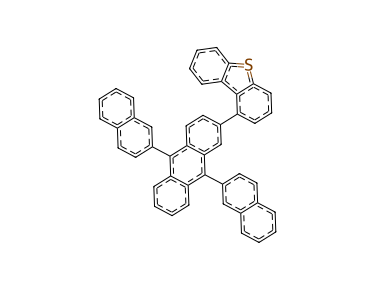 c1ccc2cc(-c3c4ccccc4c(-c4ccc5ccccc5c4)c4cc(-c5cccc6sc7ccccc7c56)ccc34)ccc2c1